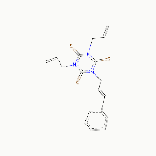 C=CCn1c(=S)n(CC=C)c(=S)n(CC=Cc2ccccc2)c1=S